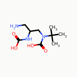 CC(C)(C)N(CC(CN)NC(=O)O)C(=O)O